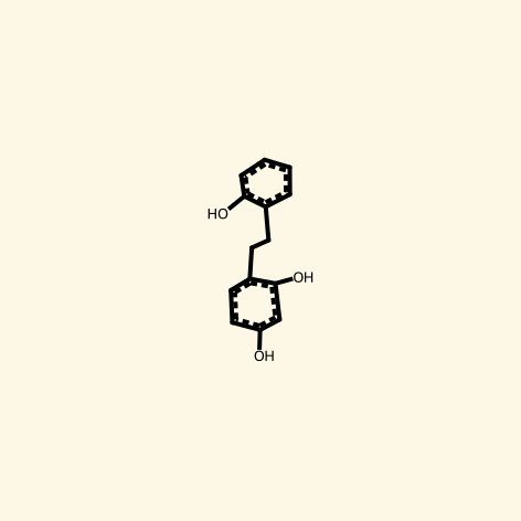 Oc1ccc(CCc2ccccc2O)c(O)c1